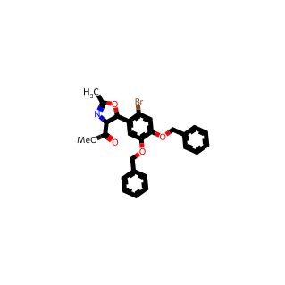 COC(=O)C1N=C(C)OC1c1cc(OCc2ccccc2)c(OCc2ccccc2)cc1Br